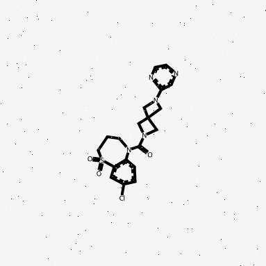 O=C(N1CC2(C1)CN(c1cnccn1)C2)N1CCCS(=O)(=O)c2cc(Cl)ccc21